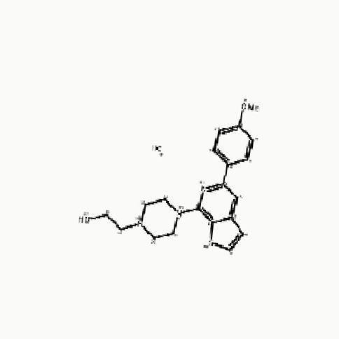 COc1ccc(-c2cc3ccsc3c(N3CCN(CCO)CC3)n2)cc1.Cl